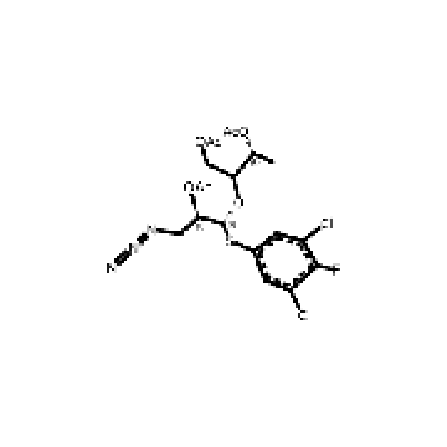 CC(=O)OCC(O[C@H](Sc1cc(Cl)c(F)c(Cl)c1)[C@@H](CN=[N+]=[N-])OC(C)=O)[C@@H](C)OC(C)=O